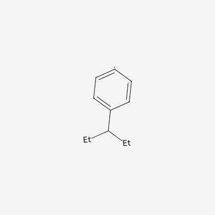 CCC(CC)c1cc[c]cc1